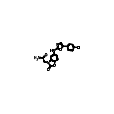 NC(=O)Cn1c(=O)oc2ccc(Nc3ncc(-c4ccc(Cl)cc4)o3)cc21